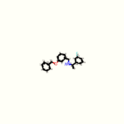 CC(NCc1cccc(OCc2ccccc2)c1)c1cccc(F)c1